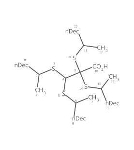 CCCCCCCCCCC(C)SC(SC(C)CCCCCCCCCC)C(SC(C)CCCCCCCCCC)(SC(C)CCCCCCCCCC)C(=O)O